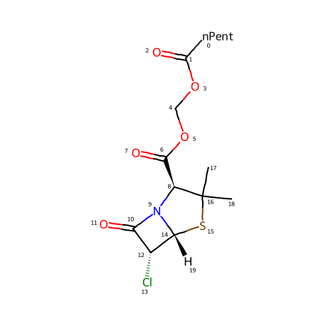 CCCCCC(=O)OCOC(=O)[C@@H]1N2C(=O)[C@@H](Cl)[C@H]2SC1(C)C